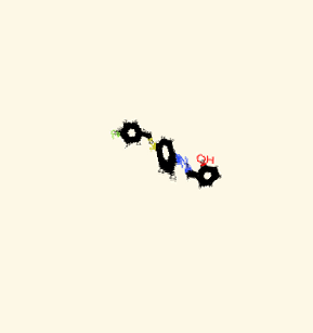 Oc1ccccc1/C=N/c1ccc(SCc2ccc(F)cc2)cc1